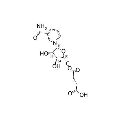 NC(=O)c1ccc[n+]([C@@H]2O[C@H](COC(=O)CCC(=O)O)[C@@H](O)[C@H]2O)c1